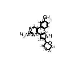 Cc1cccc(-c2cnc(N)nc2-c2c[nH]c(C3C[N]CCO3)c2)c1